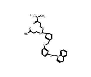 CN(C)C(=O)CCSC(SCCC(=O)O)c1cccc(COc2cccc(OCN3C#CCc4ccccc43)c2)c1